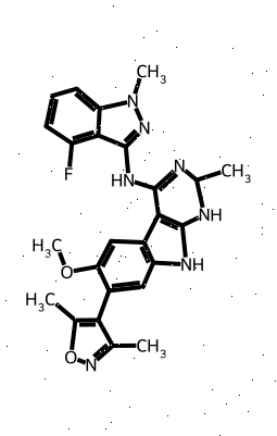 COc1cc2c3c([nH]c2cc1-c1c(C)noc1C)NC(C)N=C3Nc1nn(C)c2cccc(F)c12